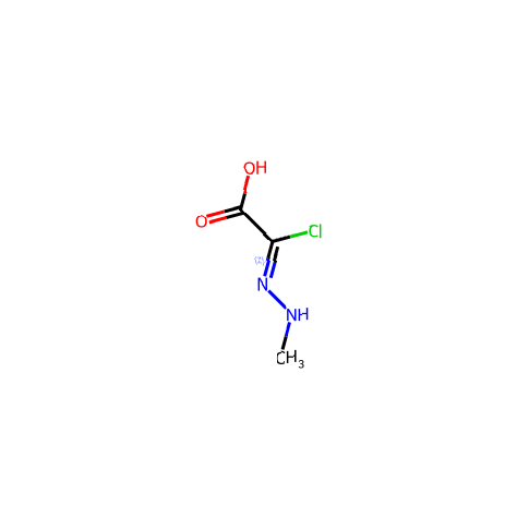 CN/N=C(\Cl)C(=O)O